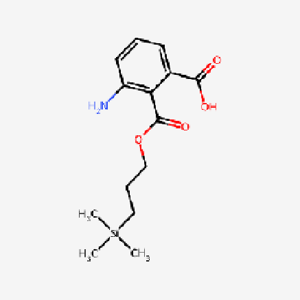 C[Si](C)(C)CCCOC(=O)c1c(N)cccc1C(=O)O